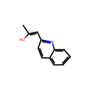 C/C(O)=C/c1ccc2ccccc2n1